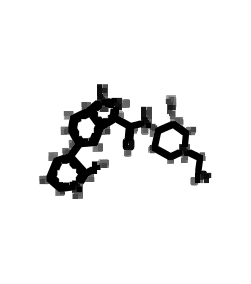 CC(C)CN1CC[C@H](NC(=O)c2n[nH]c3ccc(-c4cccnc4F)cc23)[C@H](F)C1